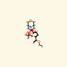 C=C(OCC)c1ccc(C2(O)CC3COCC(C2)N3C(=O)OC(C)(C)C)s1